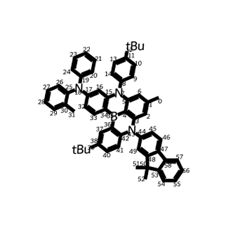 Cc1cc2c3c(c1)N(c1ccc(C(C)(C)C)cc1)c1cc(N(c4ccccc4)c4ccccc4C)ccc1B3c1cc(C(C)(C)C)ccc1N2c1ccc2c(c1)C(C)(C)c1ccccc1-2